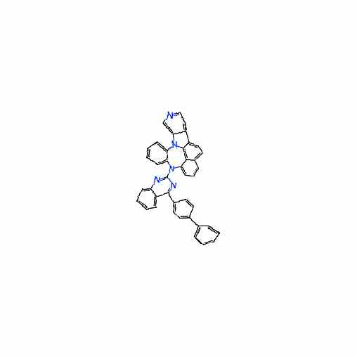 c1ccc(-c2ccc(-c3nc(-n4c5cccc6ccc7c8ccncc8n(c8ccccc84)c7c65)nc4ccccc34)cc2)cc1